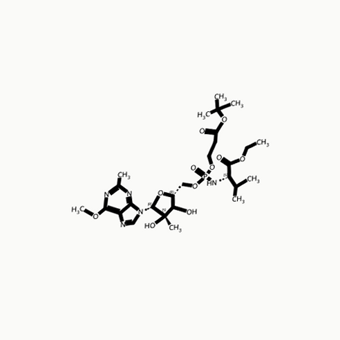 CCOC(=O)[C@@H](NP(=O)(OCCC(=O)OC(C)(C)C)OC[C@H]1O[C@@H](n2cnc3c(OC)nc(C)nc32)[C@@](C)(O)C1O)C(C)C